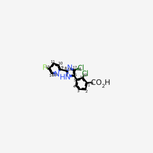 O=C(O)c1cccc(-c2[nH]c(-c3ccc(F)cn3)nc2Cl)c1Cl